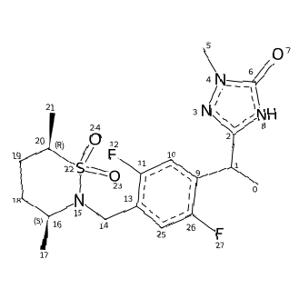 CC(c1nn(C)c(=O)[nH]1)c1cc(F)c(CN2[C@@H](C)CC[C@@H](C)S2(=O)=O)cc1F